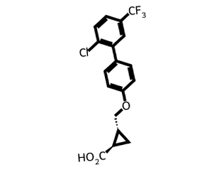 O=C(O)[C@@H]1C[C@H]1COc1ccc(-c2cc(C(F)(F)F)ccc2Cl)cc1